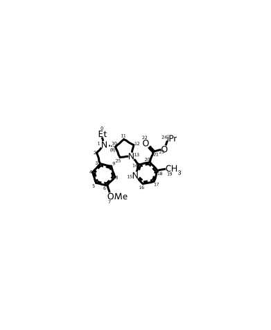 CCN(Cc1ccc(OC)cc1)[C@@H]1CCN(c2nccc(C)c2C(=O)OC(C)C)C1